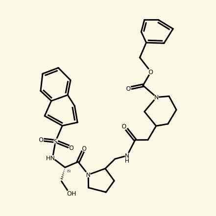 O=C(CC1CCCN(C(=O)OCc2ccccc2)C1)NCC1CCCN1C(=O)[C@H](CO)NS(=O)(=O)c1ccc2ccccc2c1